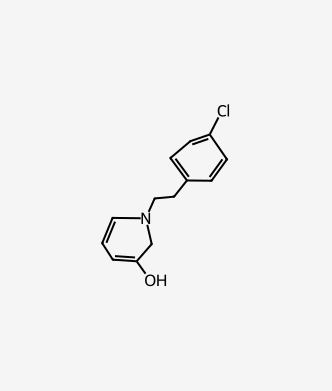 OC1=CC=CN(CCc2ccc(Cl)cc2)C1